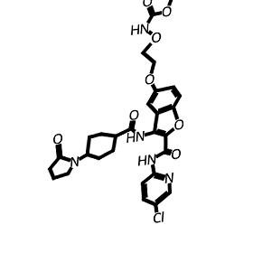 CC(C)(C)OC(=O)NOCCOc1ccc2oc(C(=O)Nc3ccc(Cl)cn3)c(NC(=O)C3CCC(N4CCCC4=O)CC3)c2c1